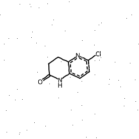 O=C1CCc2nc(Cl)ccc2N1